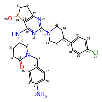 Nc1ccc(CN2C[C@@H](Nc3nc(N4CCC(c5ccc(Cl)cc5)CC4)nc4c3[S+]([O-])CC4)CCC2=O)cc1